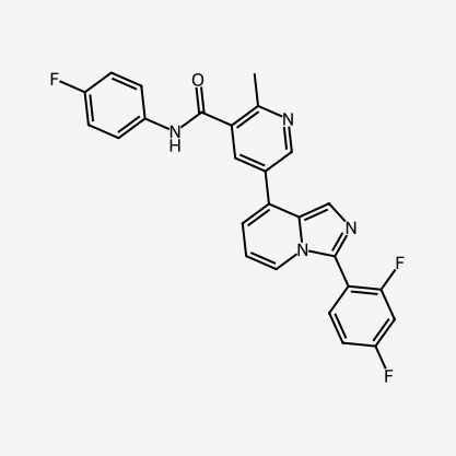 Cc1ncc(-c2cccn3c(-c4ccc(F)cc4F)ncc23)cc1C(=O)Nc1ccc(F)cc1